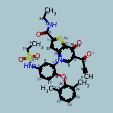 C#CC(=O)c1cn(-c2cc(NS(=O)(=O)CC)ccc2Oc2c(C)cccc2C)c2cc(C(=O)NCC)sc2c1=O